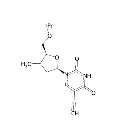 C#Cc1cn([C@H]2CC(C)[C@@H](COCCC)O2)c(=O)[nH]c1=O